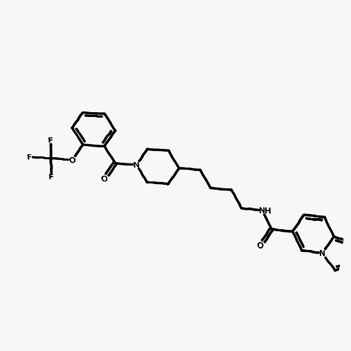 O=C(NCCCCC1CCN(C(=O)c2ccccc2OC(F)(F)F)CC1)c1ccc2nccn2c1